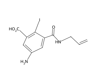 C=CCNC(=O)c1cc(N)cc(C(=O)O)c1I